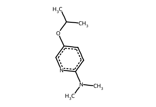 CC(C)Oc1ccc(N(C)C)nc1